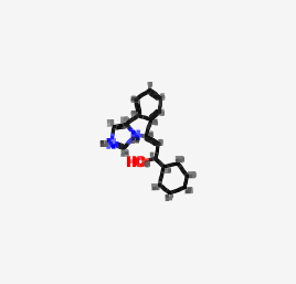 OC(C=c1c2ccccc2c2cncn12)C1CCCCC1